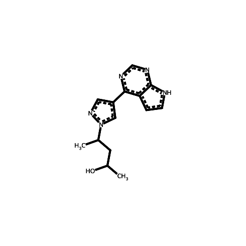 CC(O)CC(C)n1cc(-c2ncnc3[nH]ccc23)cn1